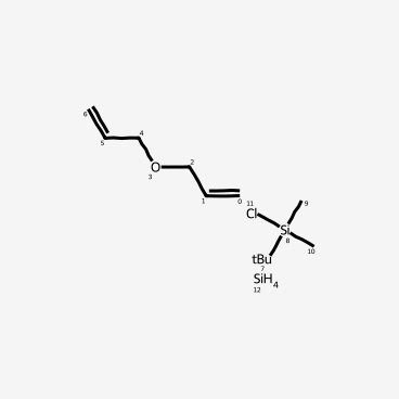 C=CCOCC=C.CC(C)(C)[Si](C)(C)Cl.[SiH4]